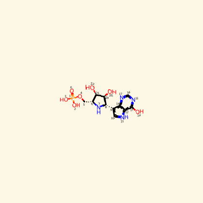 O=P(O)(O)OC[C@H]1N[C@@H](c2c[nH]c3c(O)ncnc23)[C@H](O)[C@@H]1O